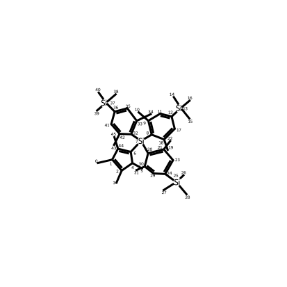 CC1=C(C)C(C)C([Si](c2c(C)cc([Si](C)(C)C)cc2C)(c2c(C)cc([Si](C)(C)C)cc2C)c2c(C)cc([Si](C)(C)C)cc2C)=C1C